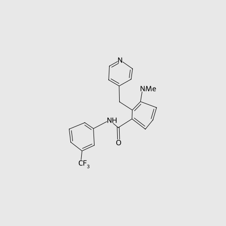 CNc1cccc(C(=O)Nc2cccc(C(F)(F)F)c2)c1Cc1ccncc1